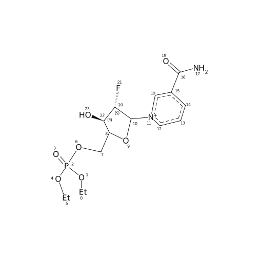 CCOP(=O)(OCC)OCC1OC([n+]2cccc(C(N)=O)c2)[C@@H](F)[C@@H]1O